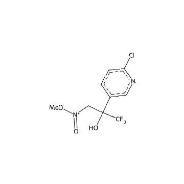 CO[N+](=O)CC(O)(c1ccc(Cl)nc1)C(F)(F)F